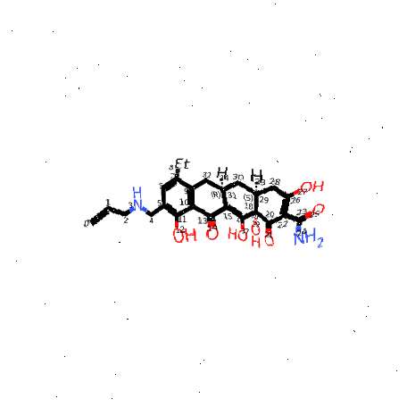 C=CCNCc1cc(CC)c2c(c1O)C(=O)C1=C(O)[C@]3(O)C(=O)C(C(N)=O)=C(O)C[C@@H]3C[C@@H]1C2